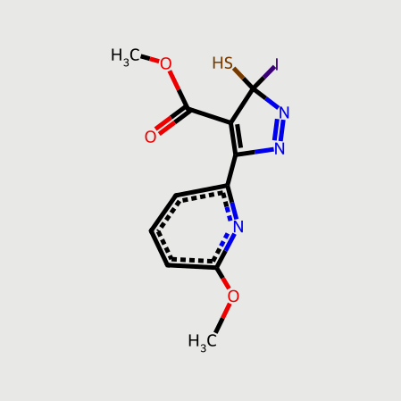 COC(=O)C1=C(c2cccc(OC)n2)N=NC1(S)I